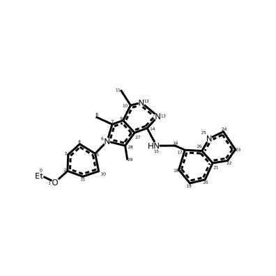 CCOc1ccc(-n2c(C)c3c(C)nnc(NCc4cccc5cccnc45)c3c2C)cc1